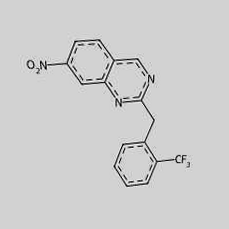 O=[N+]([O-])c1ccc2cnc(Cc3ccccc3C(F)(F)F)nc2c1